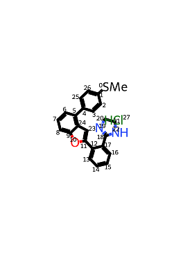 CSc1ccc(-c2cccc3oc(-c4ccccc4C4=NCCN4)cc23)cc1.Cl